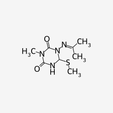 CSC1NC(=O)N(C)C(=O)N1N=C(C)C